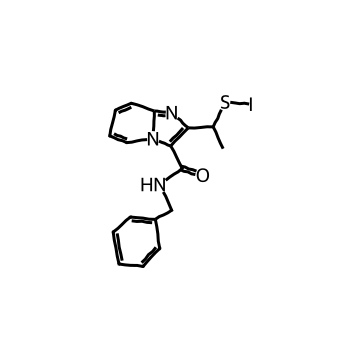 CC(SI)c1nc2ccccn2c1C(=O)NCc1ccccc1